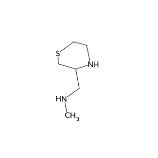 CNCC1CSCCN1